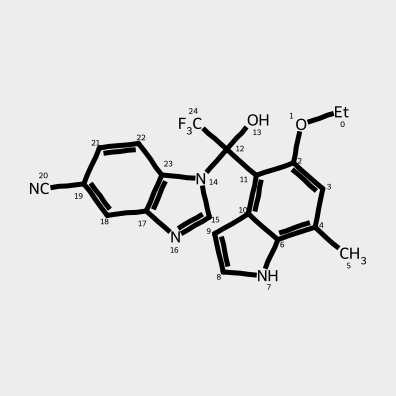 CCOc1cc(C)c2[nH]ccc2c1C(O)(n1cnc2cc(C#N)ccc21)C(F)(F)F